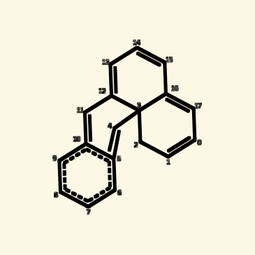 C1=CCC23C=c4ccccc4=CC2=CC=CC3=C1